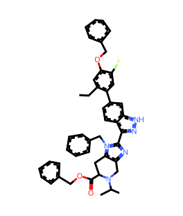 CCc1cc(OCc2ccccc2)c(F)cc1-c1ccc2c(-c3nc4c(n3Cc3ccccc3)CC(C(=O)OCc3ccccc3)N(C(C)C)C4)n[nH]c2c1